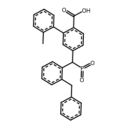 Cc1ccccc1-c1cc(C(c2ccccc2Cc2ccccc2)P(=O)=O)ccc1C(=O)O